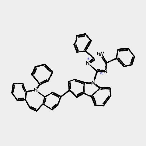 N=C(/N=C(\N=C\c1ccccc1)n1c2ccccc2c2cc(-c3ccc4c(c3)N(c3ccccc3)c3ccccc3C=C4)ccc21)c1ccccc1